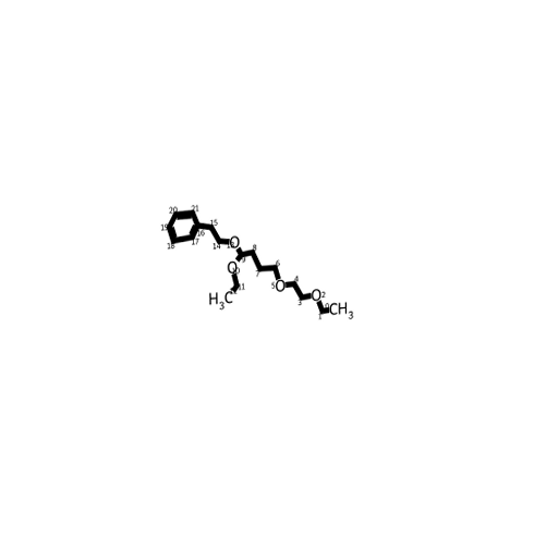 CCOCCOCCCC(OCC)OCCc1ccccc1